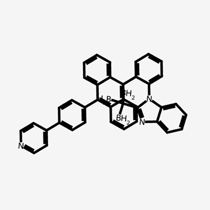 BC(B)(B)c1nc2ccccc2n1-c1ccccc1-c1c2ccccc2c(-c2ccc(-c3ccncc3)cc2)c2ccccc12